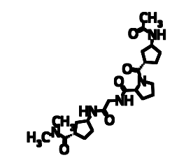 CC(=O)N[C@H]1CC[C@H](C(=O)N2CCCC2C(=O)NCC(=O)N[C@H]2CC[C@H](C(=O)N(C)C)C2)C1